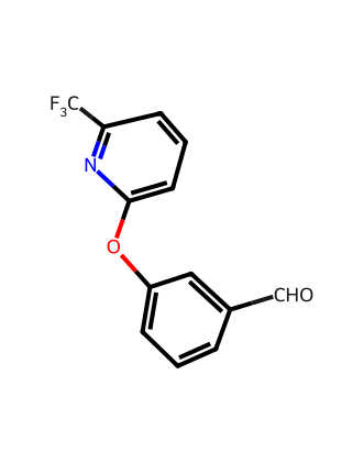 O=Cc1cccc(Oc2cccc(C(F)(F)F)n2)c1